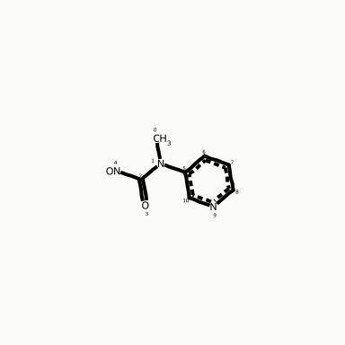 CN(C(=O)N=O)c1cccnc1